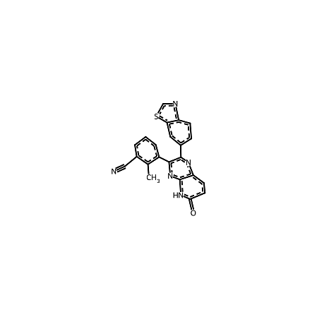 Cc1c(C#N)cccc1-c1nc2[nH]c(=O)ccc2nc1-c1ccc2ncsc2c1